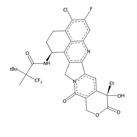 CC[C@@]1(O)C(=O)OCc2c1cc1n(c2=O)Cc2c-1nc1cc(F)c(Cl)c3c1c2[C@@H](NC(=O)C(C)(C(C)(C)C)C(F)(F)F)CC3